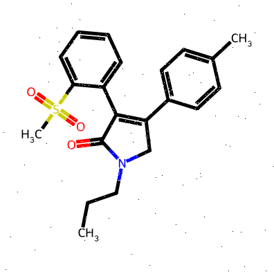 CCCN1CC(c2ccc(C)cc2)=C(c2ccccc2S(C)(=O)=O)C1=O